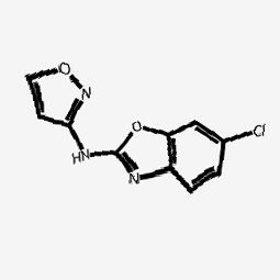 Clc1ccc2nc(Nc3ccon3)oc2c1